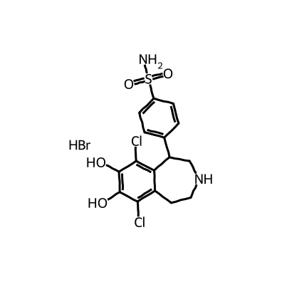 Br.NS(=O)(=O)c1ccc(C2CNCCc3c(Cl)c(O)c(O)c(Cl)c32)cc1